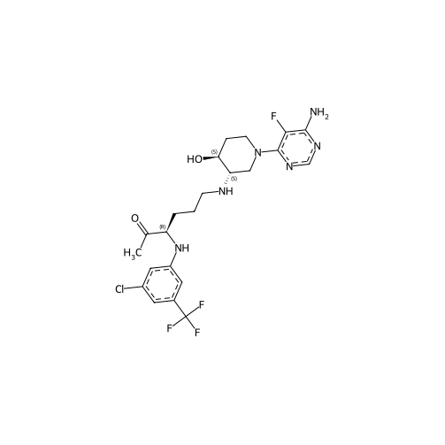 CC(=O)[C@@H](CCCN[C@H]1CN(c2ncnc(N)c2F)CC[C@@H]1O)Nc1cc(Cl)cc(C(F)(F)F)c1